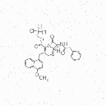 COc1ccc(CC2=C(C(=O)OCC(Cl)(Cl)Cl)N3C(=O)[C@@H](NC(=O)Cc4ccccc4)[C@H]3SC2)c2ccccc12